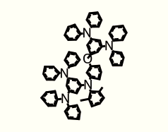 Cc1cccc(C)c1N(c1cccc(Oc2cc(N(c3ccccc3)c3ccccc3)cc(N(c3ccccc3)c3ccccc3)c2)c1)c1cc(N(c2ccccc2)c2ccccc2)cc(N(c2ccccc2)c2ccccc2)c1